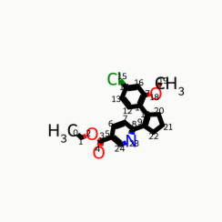 CCOC(=O)c1ccc(C2=C(c3ccc(Cl)cc3OC)CCC2)nc1